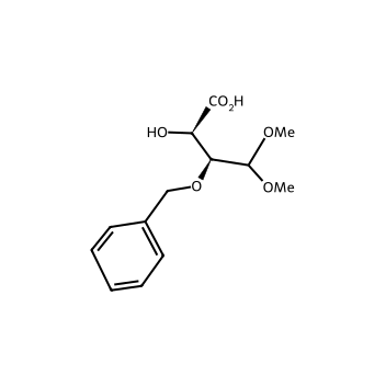 COC(OC)[C@@H](OCc1ccccc1)[C@@H](O)C(=O)O